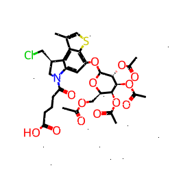 CC(=O)OC[C@H]1OC(Oc2cc3c(c4c(C)csc24)[C@H](CCl)CN3C(=O)CCCC(=O)O)[C@H](OC(C)=O)[C@@H](OC(C)=O)[C@H]1OC(C)=O